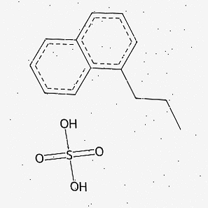 CCCc1cccc2ccccc12.O=S(=O)(O)O